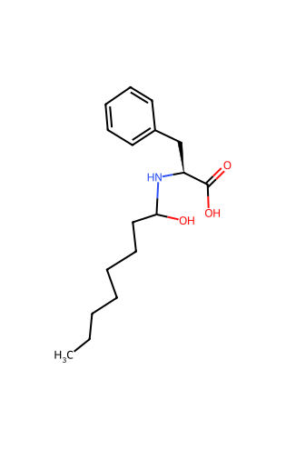 CCCCCCCC(O)N[C@@H](Cc1ccccc1)C(=O)O